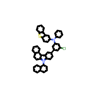 Clc1cc(-c2ccc3c(c2)c2c4ccccc4ccc2n3-c2cccc3ccccc23)cc(N(c2ccccc2)c2ccc3sc4ccccc4c3c2)c1